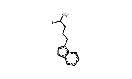 [N]C(CCCn1cnc2ccncc21)C(=O)O